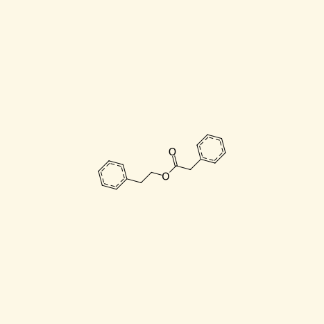 O=C(Cc1ccccc1)OCCc1ccccc1